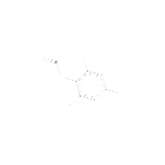 S=C(Cl)Oc1c(Cl)cc(Cl)cc1Cl